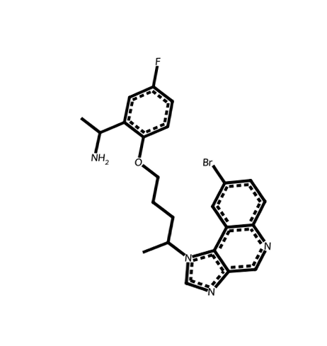 CC(N)c1cc(F)ccc1OCCCC(C)n1cnc2cnc3ccc(Br)cc3c21